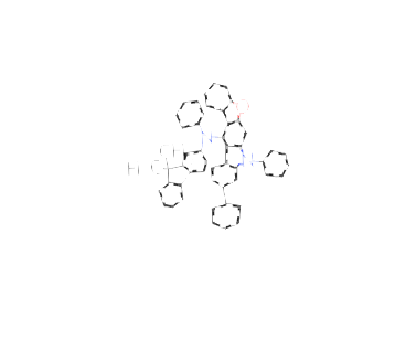 CC1(C)c2ccccc2-c2ccc(N(c3ccccc3)c3c4c(cc5c3c3ccc(-c6ccccc6)cc3n5-c3ccccc3)oc3ccccc34)cc21